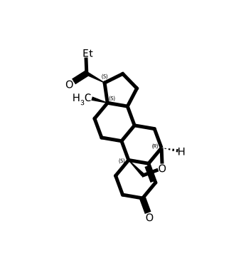 CCC(=O)[C@H]1CCC2C3C[C@H]4OC[C@@]5(CCC(=O)C=C45)C3CC[C@@]21C